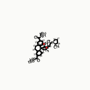 C[C@@H](CC1(c2nnn[nH]2)c2ccc(C(=O)NC(C)(C)C)cc2CCc2cc(C(=O)NC(C)(C)C)ccc21)NCC(=O)N1CCC[C@H]1C#N